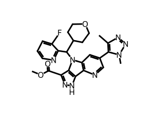 COC(=O)c1n[nH]c2c3ncc(-c4c(C)nnn4C)cc3n(C(c3ncccc3F)C3CCOCC3)c12